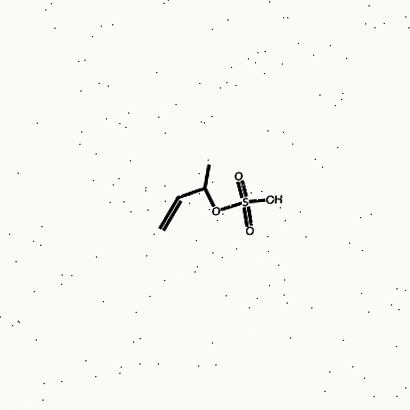 C=CC(C)OS(=O)(=O)O